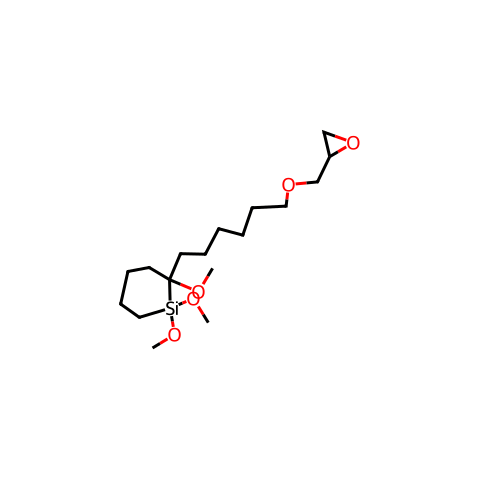 COC1(CCCCCCOCC2CO2)CCCC[Si]1(OC)OC